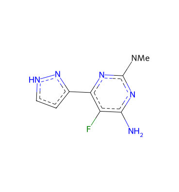 CNc1nc(N)c(F)c(-c2cc[nH]n2)n1